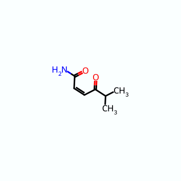 CC(C)C(=O)/C=C\C(N)=O